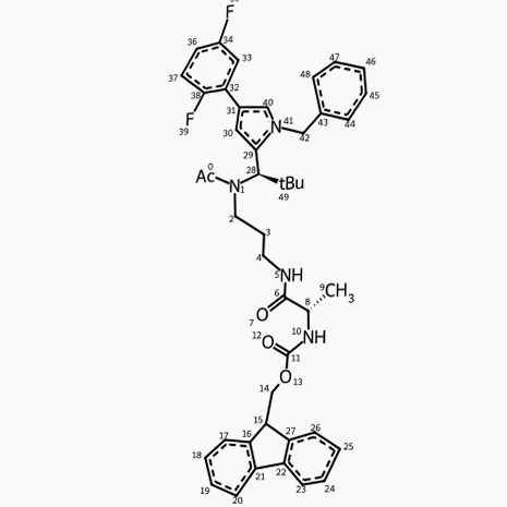 CC(=O)N(CCCNC(=O)[C@H](C)NC(=O)OCC1c2ccccc2-c2ccccc21)[C@@H](c1cc(-c2cc(F)ccc2F)cn1Cc1ccccc1)C(C)(C)C